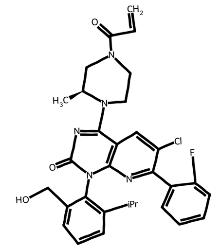 C=CC(=O)N1CCN(c2nc(=O)n(-c3c(CO)cccc3C(C)C)c3nc(-c4ccccc4F)c(Cl)cc23)[C@@H](C)C1